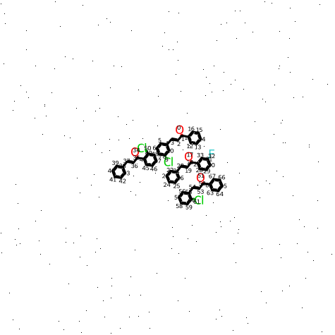 O=C(/C=C/c1cccc(Cl)c1)c1ccccc1.O=C(/C=C/c1ccccc1)c1cccc(F)c1.O=C(/C=C/c1ccccc1)c1ccccc1Cl.O=C(/C=C/c1ccccc1Cl)c1ccccc1